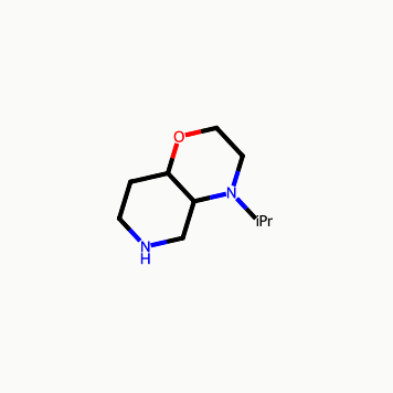 CC(C)N1CCOC2CCNCC21